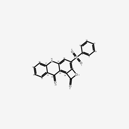 O=C1Oc2c(S(=O)(=O)c3ccccc3)cc3sc4ccccc4c(=O)c3c21